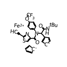 C#Cc1nc(C(=O)N(c2ccc(OC(F)(F)F)cc2)C(C(=O)NC(C)(C)C)c2cc[cH-]c2)cs1.[Fe+2].c1cc[cH-]c1